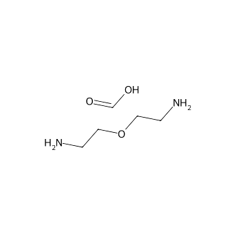 NCCOCCN.O=CO